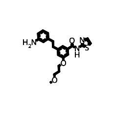 COCCCOc1cc(CCc2cccc(N)c2)cc(C(=O)Nc2nccs2)c1